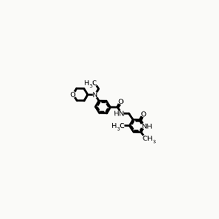 CCN(c1cccc(C(=O)NCc2c(C)cc(C)[nH]c2=O)c1)C1CCOCC1